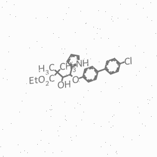 CCOC(=O)C(C)(C)C(O)C(Oc1ccc(-c2ccc(Cl)cc2)cc1)c1ccc[nH]1